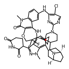 Cn1nc(C2CCC(=O)NC2=O)c2cccc(C3C[C@H]4CC[C@@H](C3)N4CC3CCN(c4ncc(Cl)c(Nc5ccc6c(c5)c5c(c(=O)n6C)OCC(F)(F)[C@H](C6CC6)N5)n4)CC3)c21